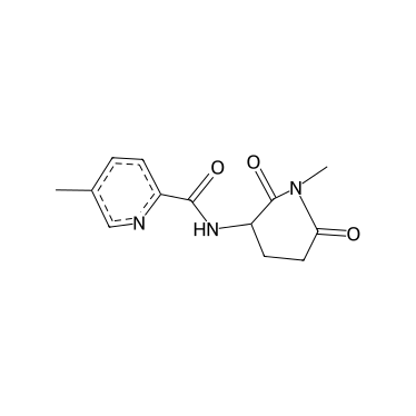 Cc1ccc(C(=O)NC2CCC(=O)N(C)C2=O)nc1